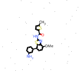 COc1ccc(-c2cccc(N)c2)c2sc(NC(=O)c3ccc(C)s3)nc12